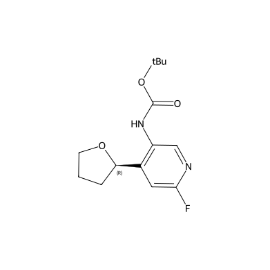 CC(C)(C)OC(=O)Nc1cnc(F)cc1[C@H]1CCCO1